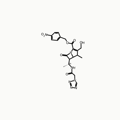 CC1C(CO)=C(C(=O)OCc2ccc([N+](=O)[O-])cc2)N2C(=O)C([C@@H](C)NC(=O)Cn3cnnn3)C12